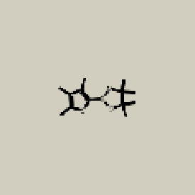 Cc1sc(B2OC(C)(C)C(C)(C)O2)c(C)c1C